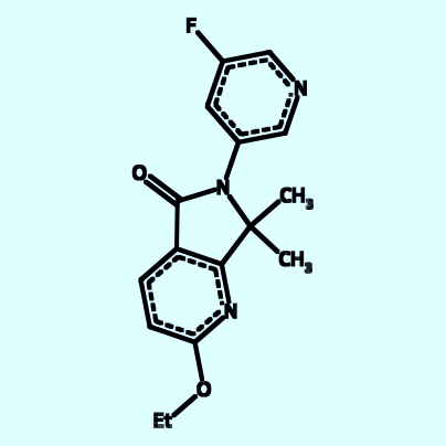 CCOc1ccc2c(n1)C(C)(C)N(c1cncc(F)c1)C2=O